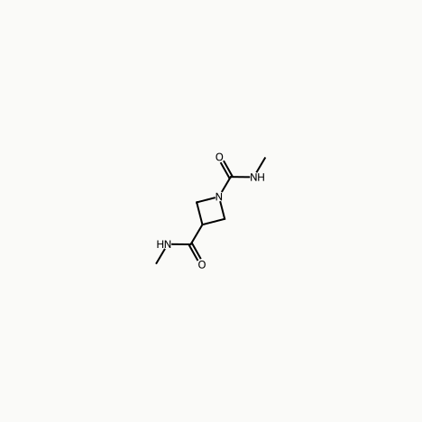 CNC(=O)C1CN(C(=O)NC)C1